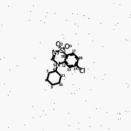 O=S1(=O)N=CN(C2CCCCC2)c2cc(Cl)ccc21